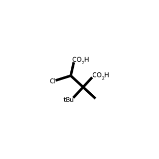 CC(C)(C)C(C)(C(=O)O)C(Cl)C(=O)O